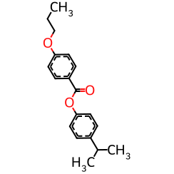 CCCOc1ccc(C(=O)Oc2ccc(C(C)C)cc2)cc1